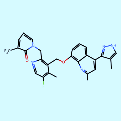 Cc1cc(-c2n[nH]cc2C)c2cccc(OCc3c(Cn4cccc(C(F)(F)F)c4=O)ncc(F)c3C)c2n1